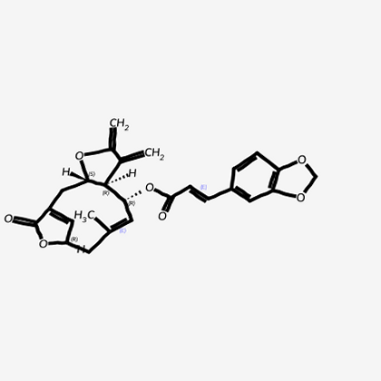 C=C1O[C@H]2CC3=C[C@@H](C/C(C)=C/[C@@H](OC(=O)/C=C/c4ccc5c(c4)OCO5)[C@@H]2C1=C)OC3=O